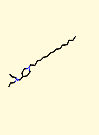 CCCCCCCCCCCCCCCN1CCC(CN(CCC)CCC)CC1